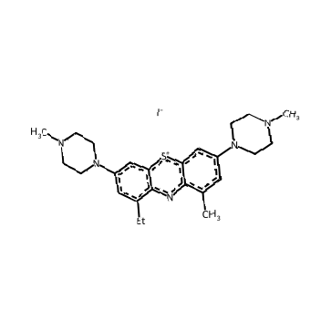 CCc1cc(N2CCN(C)CC2)cc2[s+]c3cc(N4CCN(C)CC4)cc(C)c3nc12.[I-]